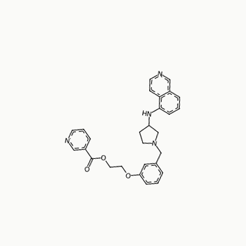 O=C(OCCOc1cccc(CN2CCC(Nc3cccc4cnccc34)C2)c1)c1cccnc1